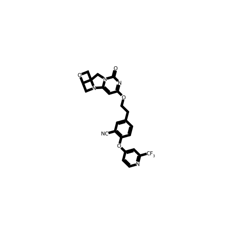 N#Cc1cc(CCOc2cc3n(c(=O)n2)CC24COC2CN34)ccc1Oc1ccnc(C(F)(F)F)c1